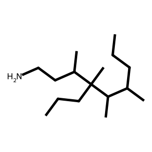 CCCC(C)C(C)C(C)(CCC)C(C)CCN